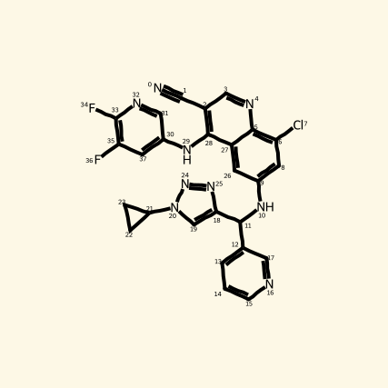 N#Cc1cnc2c(Cl)cc(NC(c3cccnc3)c3cn(C4CC4)nn3)cc2c1Nc1cnc(F)c(F)c1